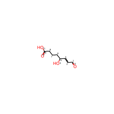 O=CC=CC(O)CCCC(=O)O